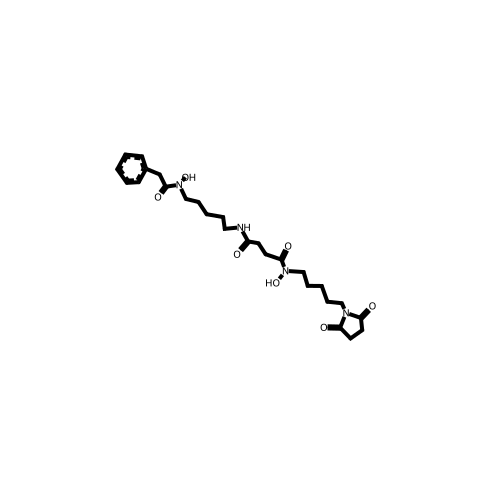 O=C(CCC(=O)N(O)CCCCCN1C(=O)CCC1=O)NCCCCCN(O)C(=O)Cc1ccccc1